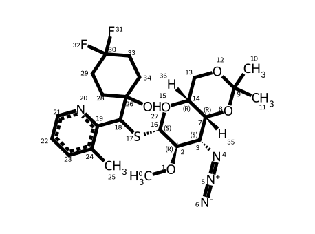 CO[C@@H]1[C@@H](N=[N+]=[N-])[C@H]2OC(C)(C)OC[C@H]2O[C@H]1SC(c1ncccc1C)C1(O)CCC(F)(F)CC1